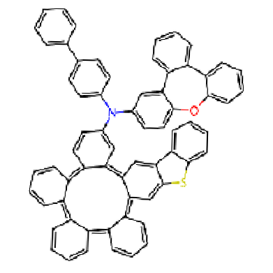 c1ccc(-c2ccc(N(c3ccc4c(c3)-c3ccccc3-c3ccccc3O4)c3ccc4c5ccccc5c5ccccc5c5ccccc5c5cc6sc7ccccc7c6cc5c4c3)cc2)cc1